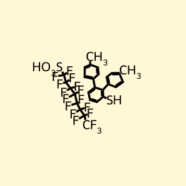 Cc1ccc(-c2cccc(S)c2-c2ccc(C)cc2)cc1.O=S(=O)(O)C(F)(F)C(F)(F)C(F)(F)C(F)(F)C(F)(F)C(F)(F)C(F)(F)C(F)(F)F